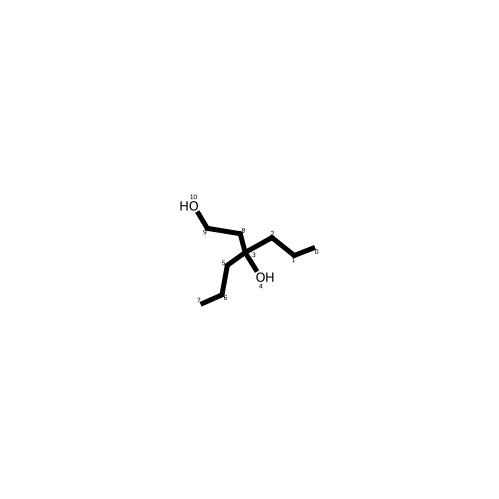 CCCC(O)(CCC)CCO